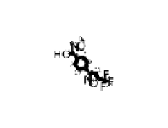 CON(C)C(O)c1ccc(-c2cc(C(F)(F)F)on2)cc1